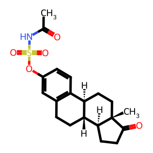 CC(=O)NS(=O)(=O)Oc1ccc2c(c1)CC[C@@H]1[C@@H]2CC[C@]2(C)C(=O)CC[C@@H]12